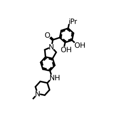 CC(C)c1cc(O)c(O)c(C(=O)N2Cc3ccc(NC4CCN(C)CC4)cc3C2)c1